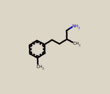 Cc1cccc(CCC(C)CN)c1